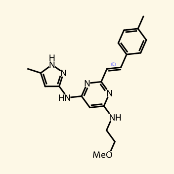 COCCNc1cc(Nc2cc(C)[nH]n2)nc(/C=C/c2ccc(C)cc2)n1